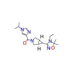 CCN1C(C2[C@H]3CN(C(=O)c4cn(C(C)C)cn4)C[C@@H]23)=NOC1(C)C